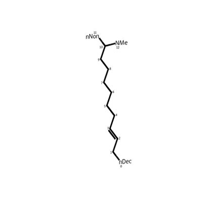 CCCCCCCCCCCC=CCCCCCCC(CCCCCCCCC)NC